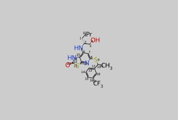 CC(C)C[C@H](CO)Nc1cc(SC(C)c2cccc(C(F)(F)F)c2)nc2sc(=O)[nH]c12